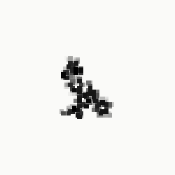 CCOC(=O)c1cc(C2CCN(C(=O)NC(C)(C)C)CC2)c2c(C)nn(-c3ccccc3)c2n1